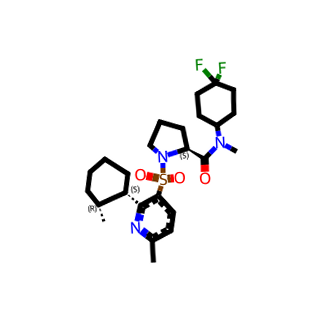 Cc1ccc(S(=O)(=O)N2CCC[C@H]2C(=O)N(C)C2CCC(F)(F)CC2)c([C@H]2CCCC[C@H]2C)n1